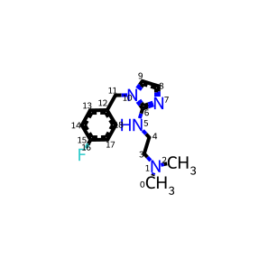 CN(C)CCNc1nccn1Cc1ccc(F)cc1